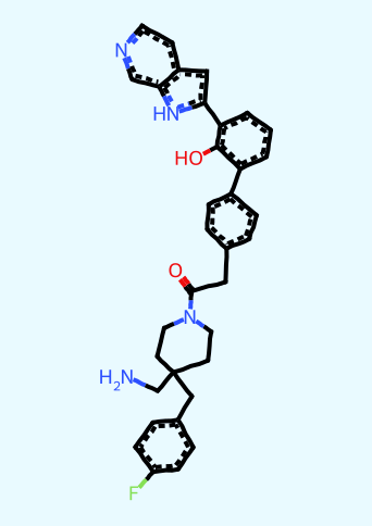 NCC1(Cc2ccc(F)cc2)CCN(C(=O)Cc2ccc(-c3cccc(-c4cc5ccncc5[nH]4)c3O)cc2)CC1